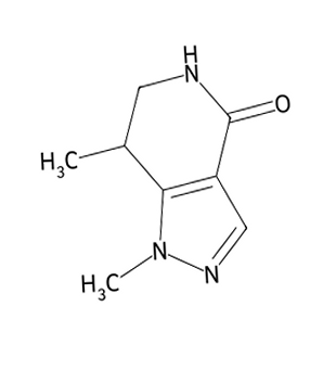 CC1CNC(=O)c2cnn(C)c21